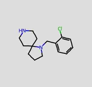 Clc1ccccc1CN1CCCC12CCNCC2